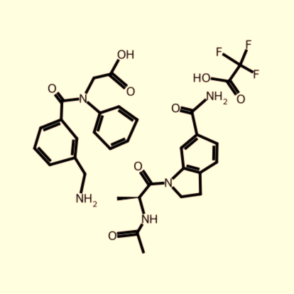 CC(=O)N[C@@H](C)C(=O)N1CCc2ccc(C(N)=O)cc21.NCc1cccc(C(=O)N(CC(=O)O)c2ccccc2)c1.O=C(O)C(F)(F)F